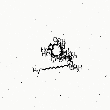 CCCCCCCCCCCCCCCC(=O)N(C)[C@@H](CO)CCC(=O)N[C@H](C)C(=O)NCC(=O)N(C)[C@@H]1C(=O)N[C@@H](C)C(=O)N[C@H](C(=O)O)Cc2ccc(O)c(c2)-c2cc1ccc2O